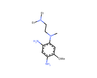 CCN(CC)CCN(C)c1cc(OC)c(N)cc1N